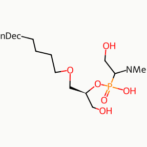 CCCCCCCCCCCCCCOC[C@H](CO)OP(=O)(O)C(CO)NC